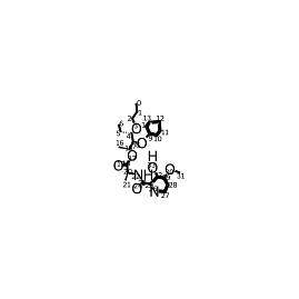 CCCO[C@@H](CC)[C@@H](Oc1ccccc1)[C@H](C)OC(=O)[C@H](C)NC(=O)c1nccc(OC)c1O